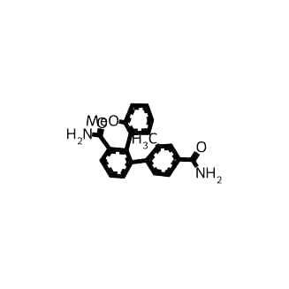 COc1ccccc1-c1c(C(N)=O)cccc1-c1ccc(C(N)=O)cc1C